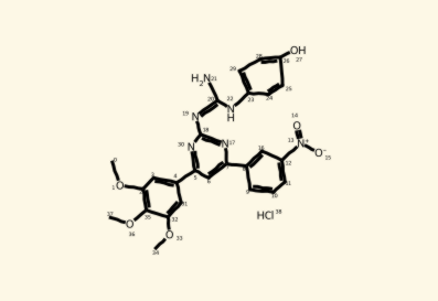 COc1cc(-c2cc(-c3cccc([N+](=O)[O-])c3)nc(N=C(N)Nc3ccc(O)cc3)n2)cc(OC)c1OC.Cl